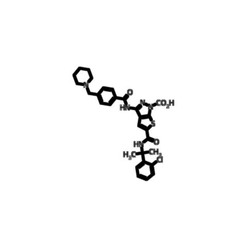 CC(C)(NC(=O)c1cc2c(NC(=O)c3ccc(CN4CCCCC4)cc3)nn(C(=O)O)c2s1)c1ccccc1Cl